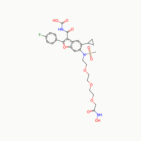 CS(=O)(=O)N(CCOCCOCCOCC(=O)NO)c1cc2oc(-c3ccc(F)cc3)c(C(=O)NC(=O)O)c2cc1C1CC1